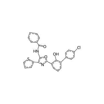 O=C(Nc1oc(-c2cccc(-c3ccc(Cl)cc3)c2O)nc1-c1cccs1)c1ccccc1